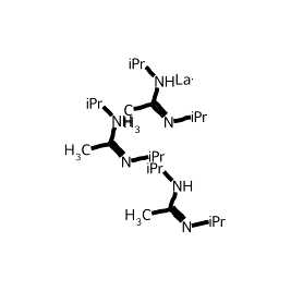 CC(=NC(C)C)NC(C)C.CC(=NC(C)C)NC(C)C.CC(=NC(C)C)NC(C)C.[La]